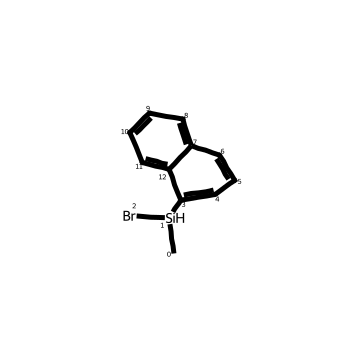 C[SiH](Br)c1cccc2ccccc12